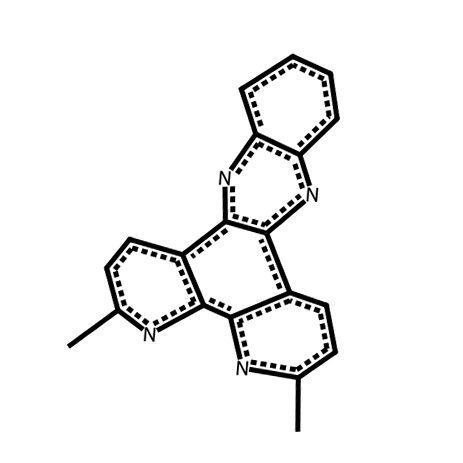 Cc1ccc2c(n1)c1nc(C)ccc1c1nc3ccccc3nc21